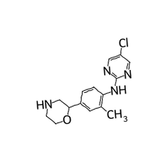 Cc1cc(C2CNCCO2)ccc1Nc1ncc(Cl)cn1